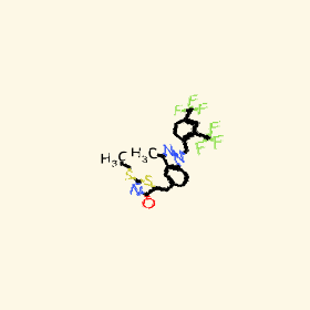 CCCSC1=NC(=O)C(=Cc2ccc3c(c2)c(C)nn3Cc2ccc(C(F)(F)F)cc2C(F)(F)F)S1